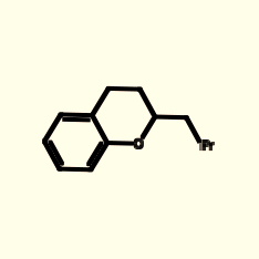 CC(C)CC1CCc2ccccc2O1